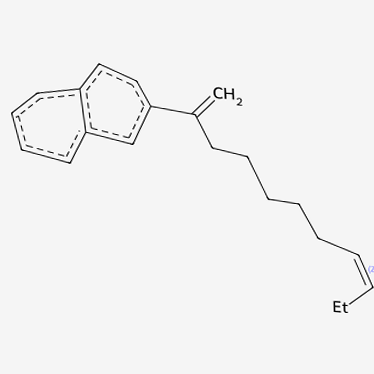 C=C(CCCCC/C=C\CC)c1ccc2ccccc2c1